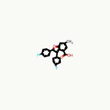 Cc1cc(C(=O)O)c2c(-c3ccc(F)cc3)c(-c3ccc(F)cc3)oc2c1